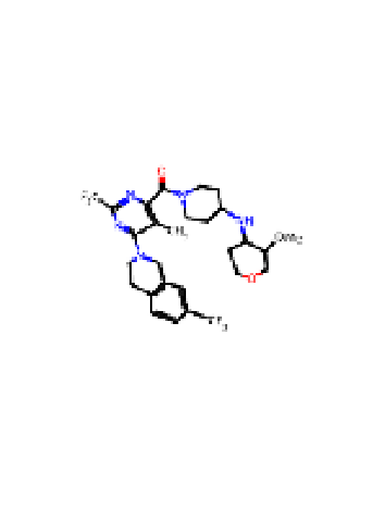 COC1COCCC1NC1CCN(C(=O)c2nc(C(F)(F)F)nc(N3CCc4ccc(C(F)(F)F)cc4C3)c2C)CC1